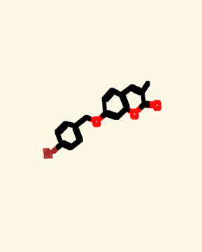 Cc1cc2ccc(OCc3ccc(Br)cc3)cc2oc1=O